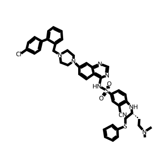 CN(C)CC[C@H](CSc1ccccc1)Nc1ccc(S(=O)(=O)Nc2ncnc3cc(N4CCN(Cc5ccccc5-c5ccc(Cl)cc5)CC4)ccc23)cc1C#N